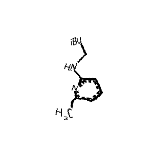 CCC(C)CNc1cccc(C)n1